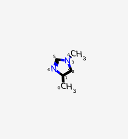 CC1[C]N(C)C=N1